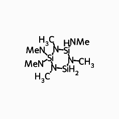 CN[SiH]1N(C)[SiH2]N(C)[Si](NC)(NC)N1C